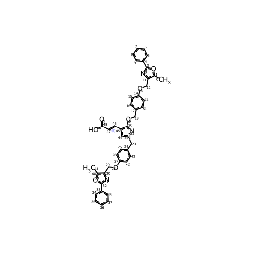 Cc1oc(-c2ccccc2)nc1COc1ccc(COc2nn(Cc3ccc(OCc4nc(-c5ccccc5)oc4C)cc3)cc2/C=C/C(=O)O)cc1